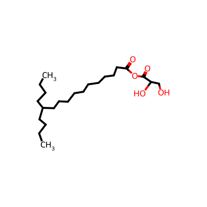 CCCCC(CCCC)CCCCCCCCCCC(=O)OC(=O)C(O)CO